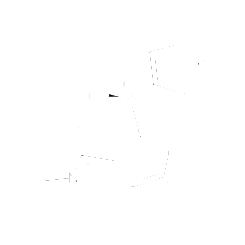 CC(C)[P@@](C1=CC=CC1)C1=CC=CC1[C@@H](C)N(C)C